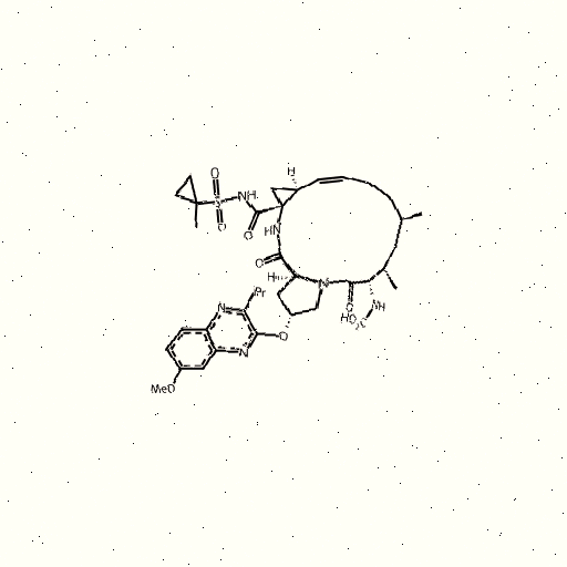 COc1ccc2nc(C(C)C)c(O[C@@H]3C[C@H]4C(=O)N[C@]5(C(=O)NS(=O)(=O)C6(C)CC6)C[C@H]5C=CCC[C@@H](C)C[C@@H](C)[C@H](NC(=O)O)C(=O)N4C3)nc2c1